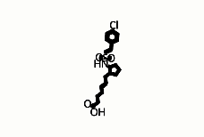 O=C(O)CCCC=CCC1CCCC1NS(=O)(=O)C=Cc1ccc(Cl)cc1